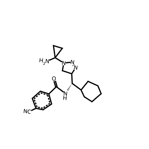 N#Cc1ccc(C(=O)N[C@@H](C2CCCCC2)C2CN(C3(N)CC3)N=N2)cc1